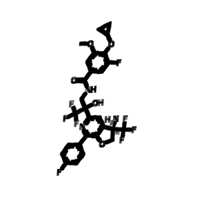 COc1cc(C(=O)NCC(O)(c2cc3c(c(-c4ccc(F)cc4)n2)OC[C@@]3(N)C(F)(F)F)C(F)(F)F)cc(F)c1OC1CC1